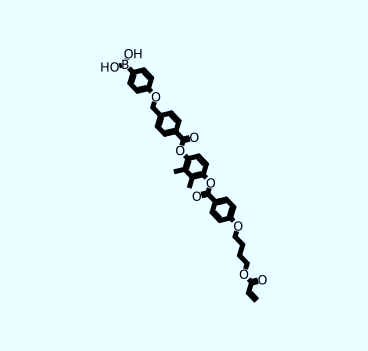 C=CC(=O)OCCCCOc1ccc(C(=O)Oc2ccc(OC(=O)c3ccc(COc4ccc(B(O)O)cc4)cc3)c(C)c2C)cc1